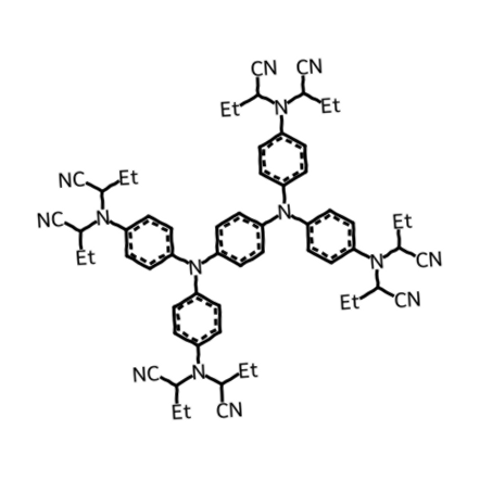 CCC(C#N)N(c1ccc(N(c2ccc(N(c3ccc(N(C(C#N)CC)C(C#N)CC)cc3)c3ccc(N(C(C#N)CC)C(C#N)CC)cc3)cc2)c2ccc(N(C(C#N)CC)C(C#N)CC)cc2)cc1)C(C#N)CC